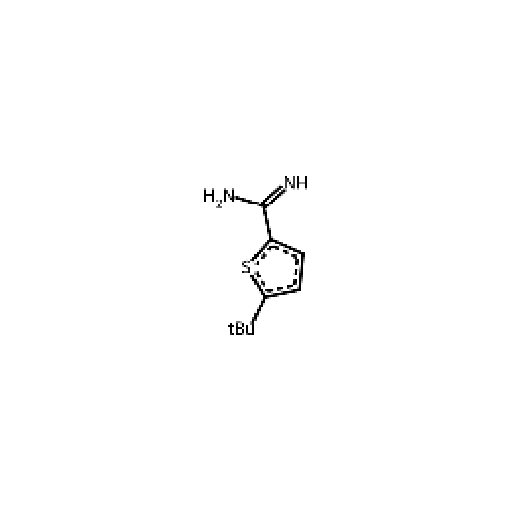 CC(C)(C)c1ccc(C(=N)N)s1